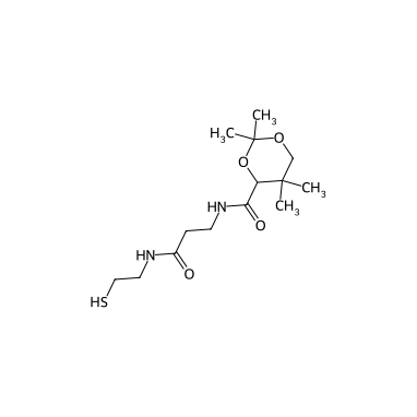 CC1(C)OCC(C)(C)C(C(=O)NCCC(=O)NCCS)O1